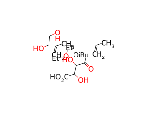 C=CC.C=CC.CC(C)COC(=O)C(O)C(O)C(=O)O.CCOCC.OCCO